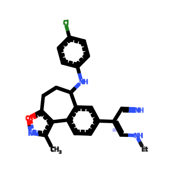 CCN/C=C(\C=N)c1ccc2c(c1)C(Nc1ccc(Cl)cc1)CCc1onc(C)c1-2